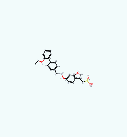 CCOc1ccccc1-c1ccc(CCOc2ccc3c(c2)OCC3CS(=O)O)cc1